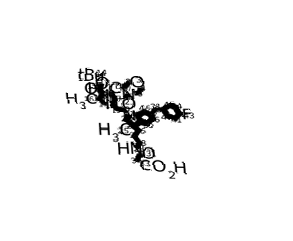 C[C@@H]1COCCN1C[C@H]1CN(C(=O)OC(C)(C)C)[C@H](C)CN1CC(=O)N1CC(C)(CCCNC(=O)CC(=O)O)c2ccc(Cc3ccc(F)cc3)cc21